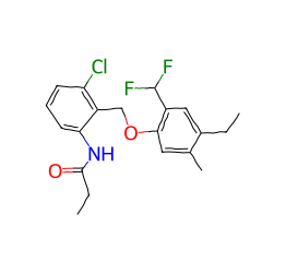 CCC(=O)Nc1cccc(Cl)c1COc1cc(C)c(CC)cc1C(F)F